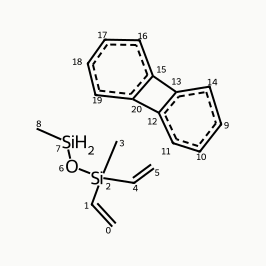 C=C[Si](C)(C=C)O[SiH2]C.c1ccc2c(c1)-c1ccccc1-2